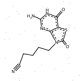 N#CCCCCn1c(=O)sc2c(=O)[nH]c(N)nc21